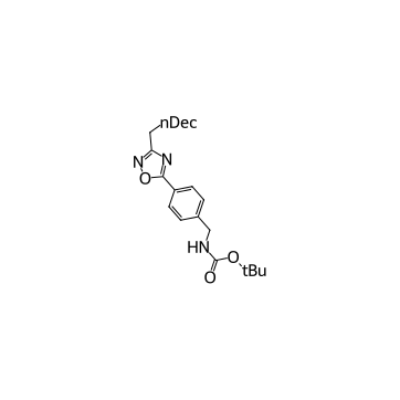 CCCCCCCCCCCc1noc(-c2ccc(CNC(=O)OC(C)(C)C)cc2)n1